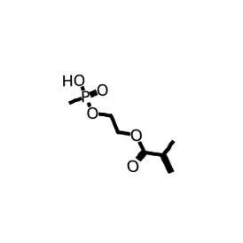 C=C(C)C(=O)OCCOP(C)(=O)O